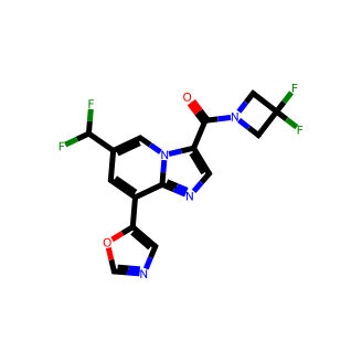 O=C(c1cnc2c(-c3cnco3)cc(C(F)F)cn12)N1CC(F)(F)C1